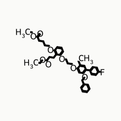 CCOC(=O)CCCCOc1cccc(OCCCOc2cc(OCc3ccccc3)c(-c3ccc(F)cc3)cc2CC)c1CCC(=O)OCC